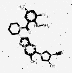 Cc1cc(C)c(NN)c(C(=O)N2CCCC[C@H]2c2cc3nc(N4C[C@@H](C#N)[C@@H](O)C4)c(C)cn3n2)c1